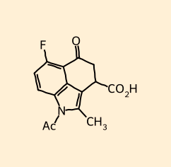 CC(=O)n1c(C)c2c3c(c(F)ccc31)C(=O)CC2C(=O)O